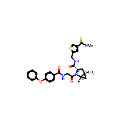 CNC(=S)c1csc(CNC(=O)[C@@H]2C[C@]3(C)C[C@@H]3N2C(=O)CNC(=O)c2ccc(Oc3ccccc3)cc2)c1